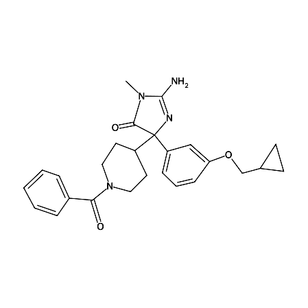 CN1C(=O)C(c2cccc(OCC3CC3)c2)(C2CCN(C(=O)c3ccccc3)CC2)N=C1N